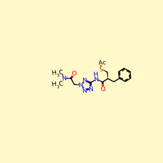 CC(=O)SC[C@@H](Cc1ccccc1)C(=O)Nc1nnn(CC(=O)N(C)C)n1